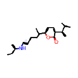 C=C(CC)N/C=C/CCC(C)c1ccc(C(=C)C(C)C)c(=O)o1